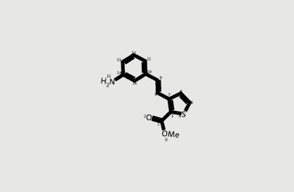 COC(=O)c1sccc1C=Cc1cccc(N)c1